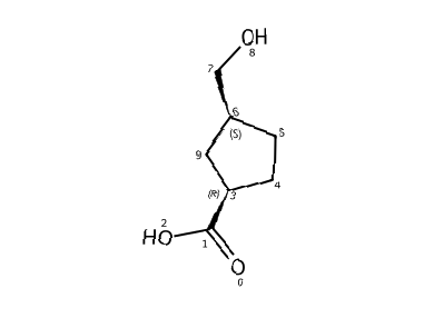 O=C(O)[C@@H]1CC[C@H](CO)C1